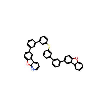 c1cc(Sc2cccc(-c3cccc(-c4ccc5oc6ncccc6c5c4)c3)c2)cc(-c2cccc(-c3ccc4oc5ccccc5c4c3)c2)c1